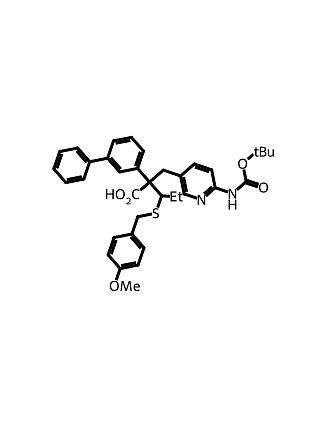 CCC(SCc1ccc(OC)cc1)C(Cc1ccc(NC(=O)OC(C)(C)C)nc1)(C(=O)O)c1cccc(-c2ccccc2)c1